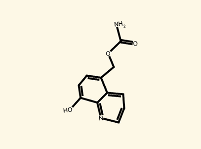 NC(=O)OCc1ccc(O)c2ncccc12